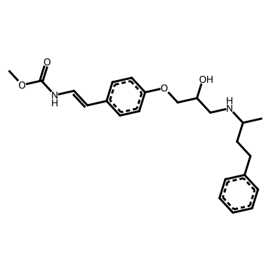 COC(=O)N/C=C/c1ccc(OCC(O)CNC(C)CCc2ccccc2)cc1